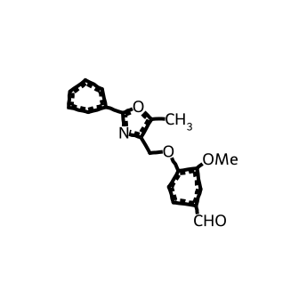 COc1cc(C=O)ccc1OCc1nc(-c2ccccc2)oc1C